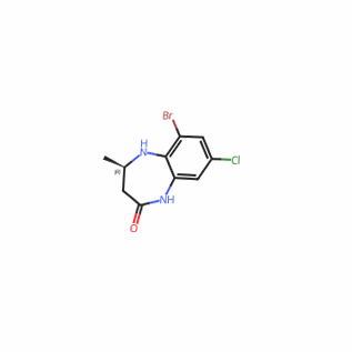 C[C@@H]1CC(=O)Nc2cc(Cl)cc(Br)c2N1